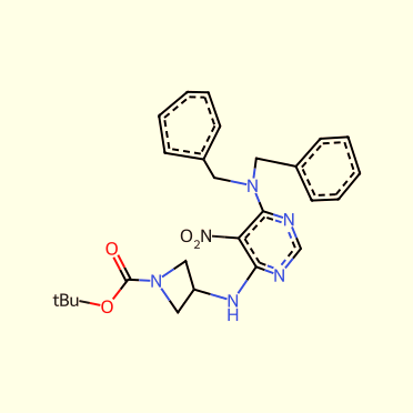 CC(C)(C)OC(=O)N1CC(Nc2ncnc(N(Cc3ccccc3)Cc3ccccc3)c2[N+](=O)[O-])C1